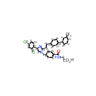 O=C(O)CNC(=O)c1ccc(Cn2cc(-c3ccc(Cl)cc3Cl)nc2/C=C/c2ccc(-c3cccc(C(F)(F)F)c3)cc2)cc1